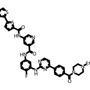 CCN1CCN(C(=O)c2ccc(-c3ccnc(Nc4cc(NC(=O)c5cncc(NC(=O)c6ccc(-c7cccs7)s6)c5)ccc4F)n3)cc2)CC1